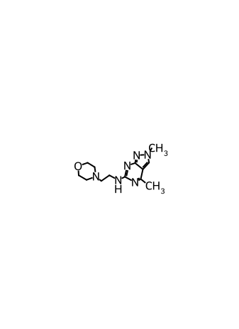 Cc1nc(NCCN2CCOCC2)nc2nn(C)cc12